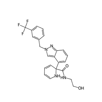 O=C(NCCO)C1(c2cccc3nn(Cc4cccc(C(F)(F)F)c4)cc23)C=CC=CN1